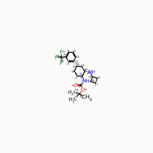 CC(C)(C)OC(=O)N[C@H]1CC[C@H](c2cccc(C(F)(F)F)c2)C[C@@H]1NC1CCC1